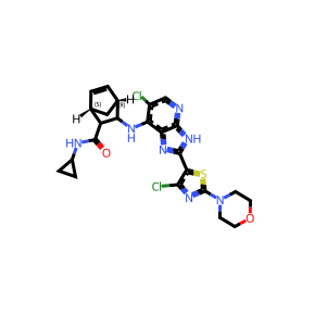 O=C(NC1CC1)C1C(Nc2c(Cl)cnc3[nH]c(-c4sc(N5CCOCC5)nc4Cl)nc23)[C@H]2C=C[C@@H]1C2